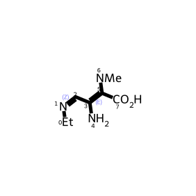 CC/N=C\C(N)=C(/NC)C(=O)O